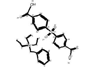 CC[N+](CC)(CC)Cc1ccccc1.O=C([O-])c1ccc(S(=O)(=O)c2ccc(C(=O)O)cc2)cc1